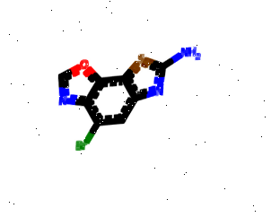 Nc1nc2cc(Br)c3ncoc3c2s1